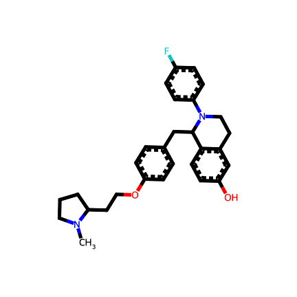 CN1CCCC1CCOc1ccc(CC2c3ccc(O)cc3CCN2c2ccc(F)cc2)cc1